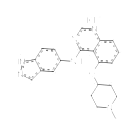 CN1CCC(Oc2cccc3ncnc(Nc4ccc5[nH]ncc5c4)c23)CC1.Cl